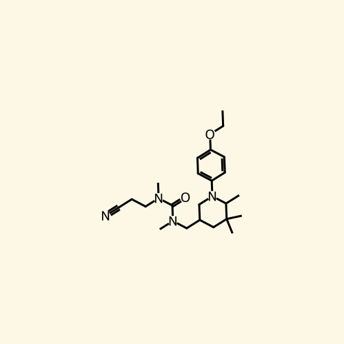 CCOc1ccc(N2CC(CN(C)C(=O)N(C)CCC#N)CC(C)(C)C2C)cc1